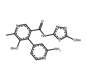 COc1nnc(NC(=O)c2cnc(C)c(OC)c2-c2ccnc(N)c2)s1